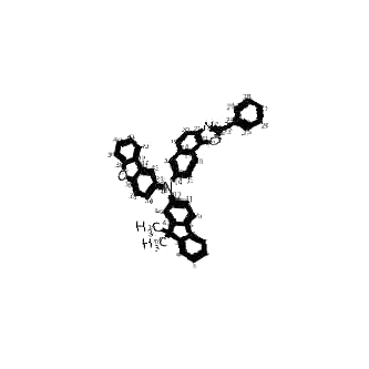 CC1(C)c2ccccc2-c2ccc(N(c3ccc4c(ccc5nc(-c6ccccc6)oc54)c3)c3ccc4oc5ccccc5c4c3)cc21